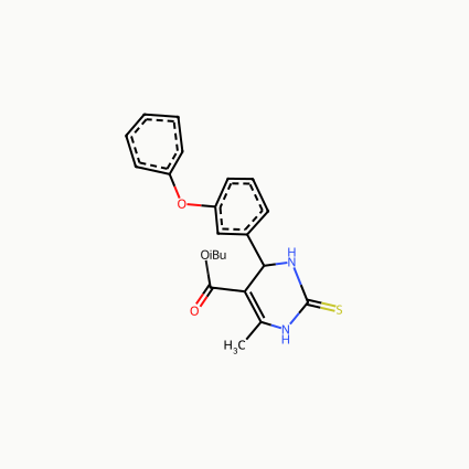 CC1=C(C(=O)OCC(C)C)C(c2cccc(Oc3ccccc3)c2)NC(=S)N1